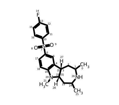 CC1C[C@H]2c3cc(S(=O)(=O)c4ccc(F)cc4)ccc3N(C)[C@H]2CC(C)N1